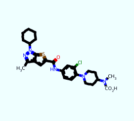 Cc1nn(C2CCCCC2)c2sc(C(=O)Nc3ccc(N4CCC(N(C)C(=O)O)CC4)c(Cl)c3)cc12